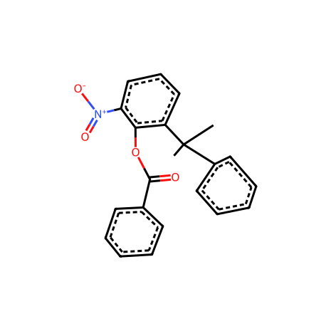 CC(C)(c1ccccc1)c1cccc([N+](=O)[O-])c1OC(=O)c1ccccc1